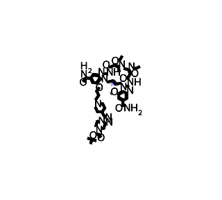 COc1cc(C(N)=O)cc2nc(NC(=O)c3oc(C)nc3C)n(C/C=C/Cn3c(NC(=O)c4oc(C)nc4C)nc4cc(C(N)=O)cc(OCCCN5CCC(c6nnc7n6CCN(C(=O)OC(C)(C)C)C7)CC5)c43)c12